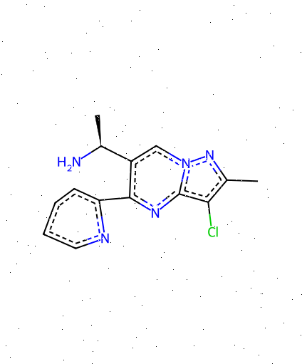 Cc1nn2cc([C@H](C)N)c(-c3ccccn3)nc2c1Cl